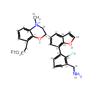 CCOC(=O)Cc1cccc2c1O[C@@H](c1cc(-c3cccc(CN)c3F)c3occc3c1)CN2C